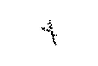 N#CCCOC(=O)CCN(CCOC=O)CCOC=O